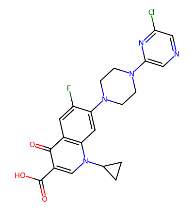 O=C(O)c1cn(C2CC2)c2cc(N3CCN(c4cncc(Cl)n4)CC3)c(F)cc2c1=O